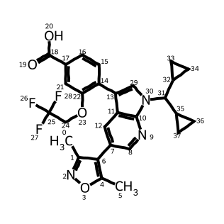 Cc1noc(C)c1-c1cnc2c(c1)c(-c1ccc(C(=O)O)cc1OCC(F)(F)F)cn2C(C1CC1)C1CC1